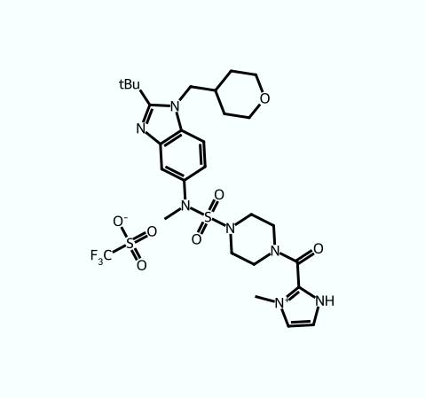 CN(c1ccc2c(c1)nc(C(C)(C)C)n2CC1CCOCC1)S(=O)(=O)N1CCN(C(=O)c2[nH]cc[n+]2C)CC1.O=S(=O)([O-])C(F)(F)F